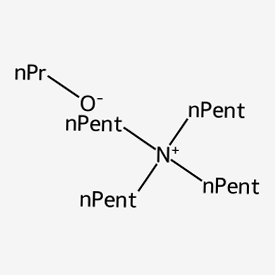 CCCCC[N+](CCCCC)(CCCCC)CCCCC.CCC[O-]